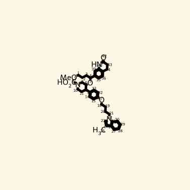 COCCCC(OC1CN(C(=O)O)CCC1c1ccc(OCCCCn2cc(C)c3ccccc32)cc1)c1ccc2c(c1)NC(=O)CC2